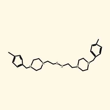 Cc1ccc(CN2CCN(CCSSCCN3CCN(Cc4ccc(C)cc4)CC3)CC2)cc1